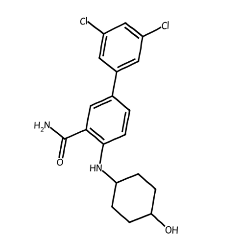 NC(=O)c1cc(-c2cc(Cl)cc(Cl)c2)ccc1NC1CCC(O)CC1